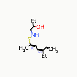 C=C/C(=C\C=C(/C)SNCC(O)CC)CC